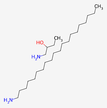 CCC(O)CN.CCCCCCCCCCCCCCCCCCCCN